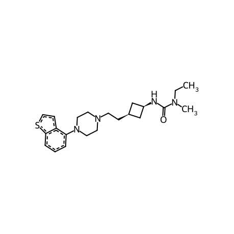 CCN(C)C(=O)N[C@H]1C[C@@H](CCN2CCN(c3cccc4sccc34)CC2)C1